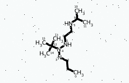 CCC[N]N(NCCNC(C)C)C(C)(C)C